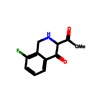 COC(=O)C1NCc2c(F)cccc2C1=O